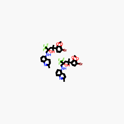 Cc1ccc2c(NCC(O)(CC(C)(C)c3ccc(Br)c4c3OCO4)C(F)(F)F)cccc2n1.Cc1ccc2c(NCC(O)(CC(C)(C)c3ccc(Br)c4c3OCO4)C(F)(F)F)cccc2n1